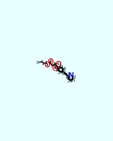 CCCCOC(=O)CCS(=O)(=O)c1ccc(C#Cc2ccccn2)cc1